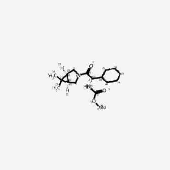 CC(C)(C)OC(=O)N[C@H](C(=O)N1C[C@@H]2[C@H](C1)C2(C)C)C1CCCCC1